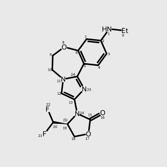 CCNc1ccc2c(c1)OCCn1cc(N3C(=O)OC[C@H]3C(F)F)nc1-2